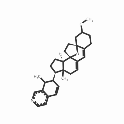 COC1CCC2=CC3=CCC4(C)[C@@H](C5C=Cc6ccncc6C5C)CC[C@H]4[C@@]34CC[C@]2(C1)O4